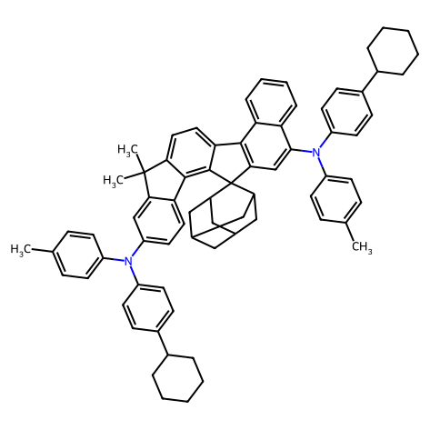 Cc1ccc(N(c2ccc(C3CCCCC3)cc2)c2ccc3c(c2)C(C)(C)c2ccc4c(c2-3)C2(c3cc(N(c5ccc(C)cc5)c5ccc(C6CCCCC6)cc5)c5ccccc5c3-4)C3CC4CC(C3)CC2C4)cc1